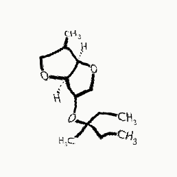 CCC(C)(CC)OC1CO[C@@H]2C(C)CO[C@H]12